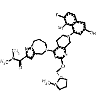 CCc1c(F)ccc2cc(O)cc(N3CCc4c(nc(OC[C@@H]5CCCN5C)nc4N4CCCn5nc(C(=O)N(C)C)cc5C4)C3)c12